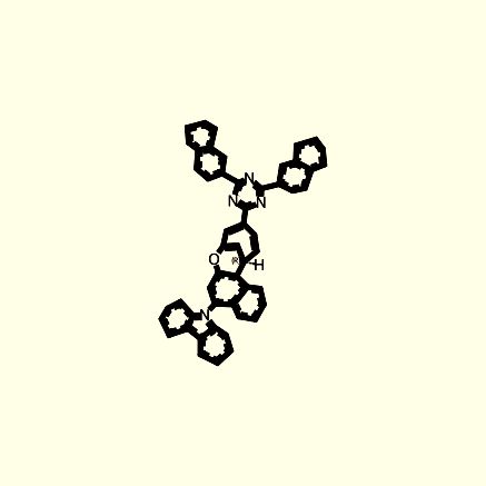 C1=C[C@@H]2C=C(C=C1c1nc(-c3ccc4ccccc4c3)nc(-c3ccc4ccccc4c3)n1)Oc1cc(-n3c4ccccc4c4ccccc43)c3ccccc3c12